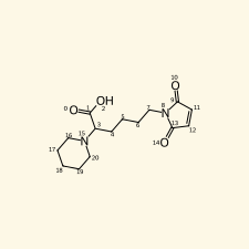 O=C(O)C(CCCCN1C(=O)C=CC1=O)N1CCCCC1